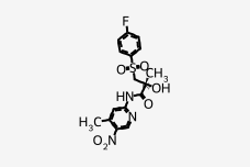 Cc1cc(NC(=O)[C@@](C)(O)CS(=O)(=O)c2ccc(F)cc2)ncc1[N+](=O)[O-]